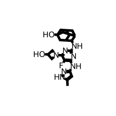 Cc1cc(Nc2nc(NC3C4CC5CC3CC(O)(C5)C4)nc(N3CC(O)C3)c2F)n[nH]1